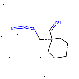 [N-]=[N+]=NCC1(C=N)CCCCC1